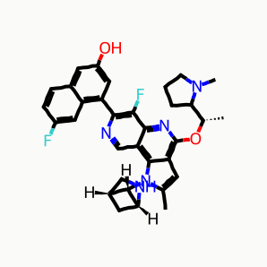 Cc1cc2c(O[C@@H](C)C3CCCN3C)nc3c(F)c(-c4cc(O)cc5ccc(F)cc45)ncc3c2n1[C@H]1[C@H]2CN[C@@H]1C2